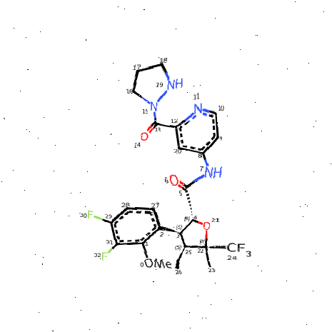 COc1c([C@H]2[C@H](C(=O)Nc3ccnc(C(=O)N4CCCN4)c3)O[C@@](C)(C(F)(F)F)[C@H]2C)ccc(F)c1F